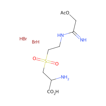 Br.Br.CC(=O)OCC(=N)NCCS(=O)(=O)CC(N)C(=O)O